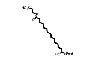 CCCCCC(O)C=CC=CCC=CCC=CCCCC(=O)NCCS(=O)(=O)O